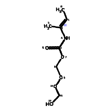 C/C=C(\C)NC(=O)OCOOCO